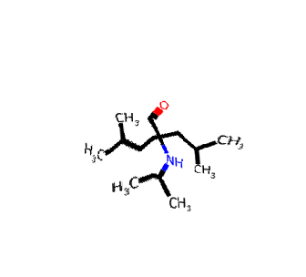 CC(C)CC(C=O)(CC(C)C)NC(C)C